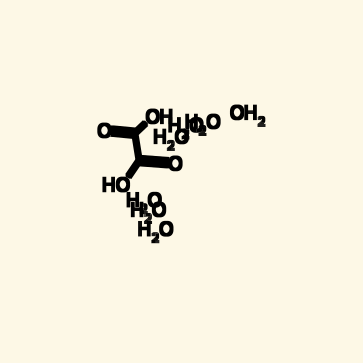 O.O.O.O.O.O.O.O=C(O)C(=O)O